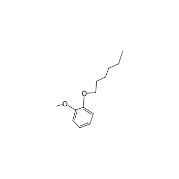 CCCCCCOc1ccccc1OC